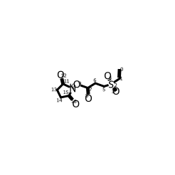 C=CS(=O)(=O)CCC(=O)ON1C(=O)CCC1=O